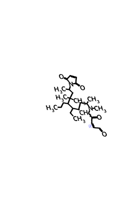 CCCC(C(CC)C(C)CC(C)N(C)CC(=O)/C=C\C=O)C(C)(C)CC(C)N1C(=O)C=CC1=O